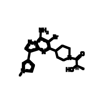 C[C@@H](O)C(=O)N1CCC(c2nc3c(-c4ccn(C)c4)cnn3c(N)c2Br)CC1